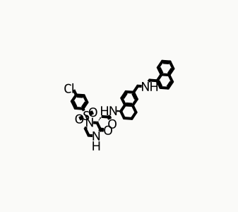 O=C(C[C@@H]1C(=O)NCCN1S(=O)(=O)c1ccc(Cl)cc1)N[C@@H]1CCCc2cc(CNCc3cccc4ccccc34)ccc21